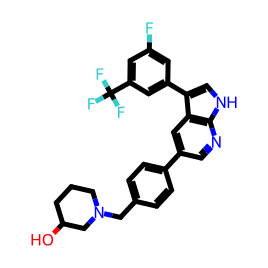 OC1CCCN(Cc2ccc(-c3cnc4[nH]cc(-c5cc(F)cc(C(F)(F)F)c5)c4c3)cc2)C1